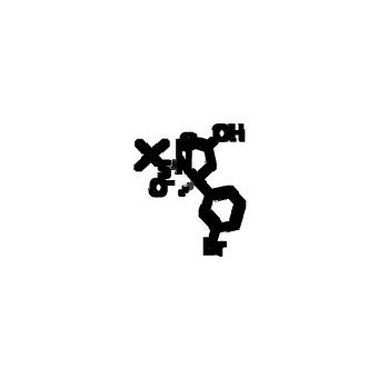 CC(C)(C)[S@@+]([O-])N[C@@](C)(CC(=O)O)c1cccc(Br)c1